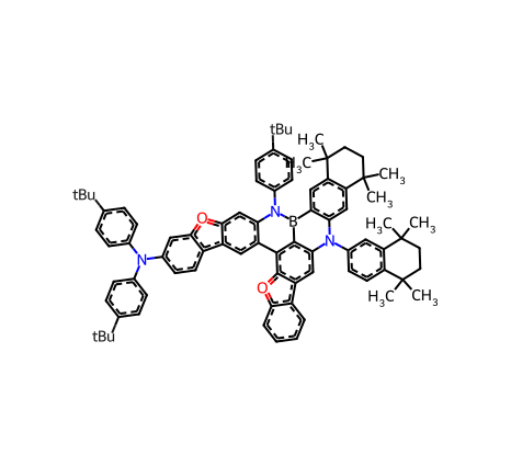 CC(C)(C)c1ccc(N2B3c4cc5c(cc4N(c4ccc6c(c4)C(C)(C)CCC6(C)C)c4cc6c(oc7ccccc76)c(c43)-c3cc4c(cc32)oc2cc(N(c3ccc(C(C)(C)C)cc3)c3ccc(C(C)(C)C)cc3)ccc24)C(C)(C)CCC5(C)C)cc1